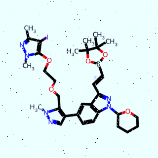 Cc1nn(C)c(OCCOCc2c(-c3ccc4c(c3)c(/C=C/B3OC(C)(C)C(C)(C)O3)nn4C3CCCCO3)cnn2C)c1I